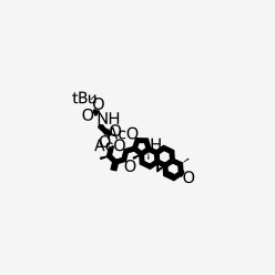 C=C(C(=O)[C@H](OC(C)=O)C1[C@@H](OC(C)=O)C[C@@]2(C)[C@@H]3CCC4[C@H](C)C(=O)C=C[C@@]45C[C@@]35CC[C@]12C)[C@@H](C)COC(=O)CNC(=O)OC(C)(C)C